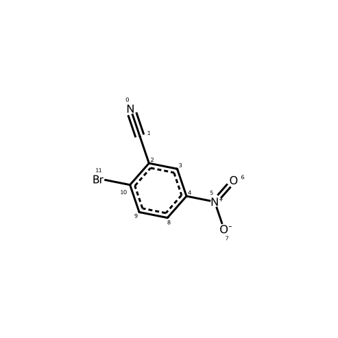 N#Cc1cc([N+](=O)[O-])ccc1Br